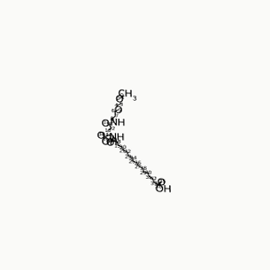 CCOCCOCCCNC(=O)CC[C@H](NC(=O)CCCCCCCCCCCCCCCCC(=O)O)C(=O)O